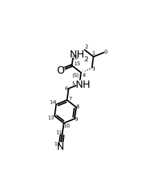 CC(C)C[C@H](NCc1ccc(C#N)cc1)C(N)=O